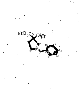 CCOC(=O)C1(OCC)CCN(Cc2ccccc2)C1